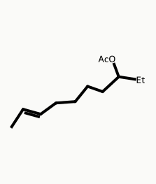 CC=CCCCCC(CC)OC(C)=O